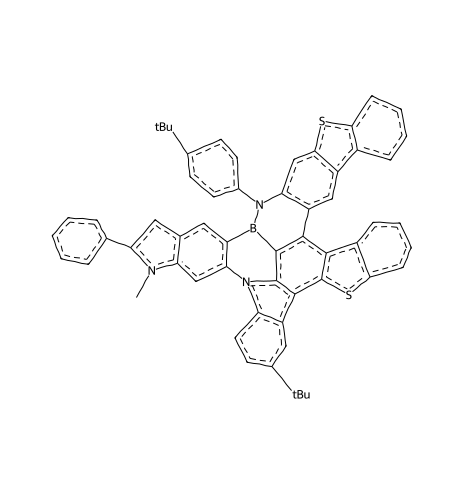 Cn1c(-c2ccccc2)cc2cc3c(cc21)-n1c2ccc(C(C)(C)C)cc2c2c4sc5ccccc5c4c4c(c21)B3N(c1ccc(C(C)(C)C)cc1)c1cc2sc3ccccc3c2cc1-4